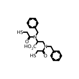 O=C(O)C(CN(Cc1ccccc1)C(=O)CS)N(Cc1ccccc1)C(=O)CS